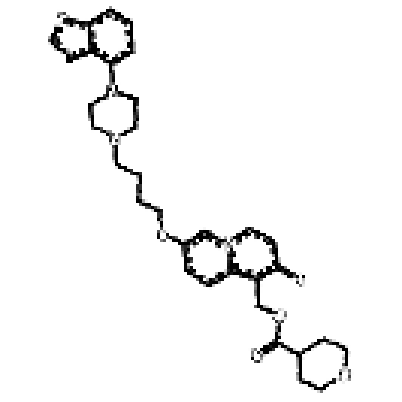 O=C(OCc1c(=O)ccn2cc(OCCCCN3CCN(c4cccc5sccc45)CC3)ccc12)C1CCOCC1